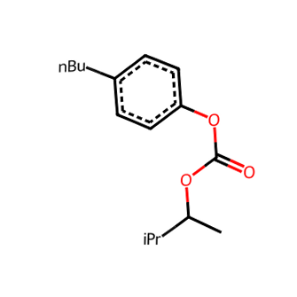 CCCCc1ccc(OC(=O)OC(C)C(C)C)cc1